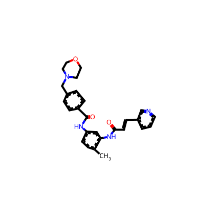 Cc1ccc(NC(=O)c2ccc(CN3CCOCC3)cc2)cc1NC(=O)C=Cc1cccnc1